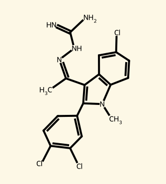 C/C(=N/NC(=N)N)c1c(-c2ccc(Cl)c(Cl)c2)n(C)c2ccc(Cl)cc12